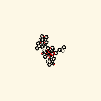 C1=CC2Oc3ccccc3C3(c4ccccc4-c4ccc(N(c5ccc(-c6ccc7c(c6)oc6ccccc67)cc5)c5ccc6c(c5)-c5ccccc5C65c6ccccc6Oc6ccccc65)cc43)C2C=C1c1ccc2c(c1)C1(c3ccccc3O2)c2ccccc2C2C=C(N(c3ccc4c(c3)C3(c5ccccc5Oc5ccccc53)c3ccccc3-4)c3ccc4c5ccccc5c5ccccc5c4c3)C=CC21